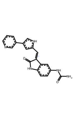 NC(=O)Nc1ccc2c(c1)/C(=C/c1cc(-c3cccnc3)c[nH]1)C(=O)N2